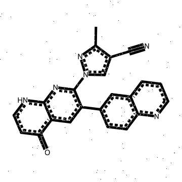 Cc1nn(-c2nc3[nH]ccc(=O)c3cc2-c2ccc3ncccc3c2)cc1C#N